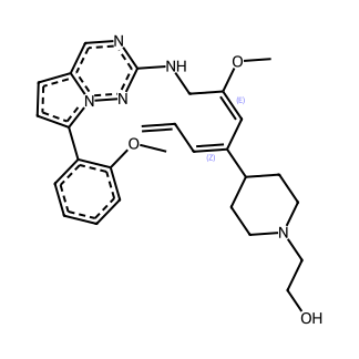 C=C/C=C(\C=C(/CNc1ncc2ccc(-c3ccccc3OC)n2n1)OC)C1CCN(CCO)CC1